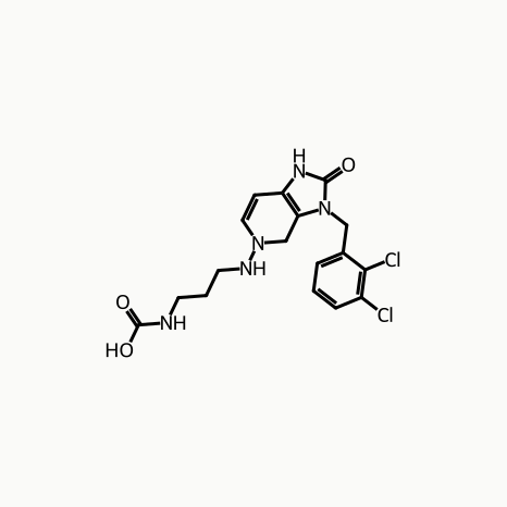 O=C(O)NCCCNN1C=Cc2[nH]c(=O)n(Cc3cccc(Cl)c3Cl)c2C1